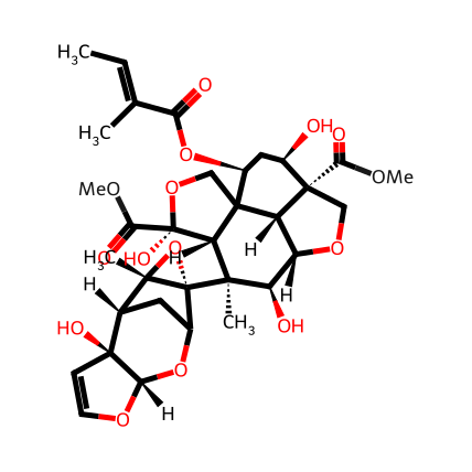 C/C=C(\C)C(=O)O[C@H]1C[C@@H](O)[C@@]2(C(=O)OC)CO[C@H]3[C@@H]2C12CO[C@](O)(C(=O)OC)[C@H]2[C@](C)([C@]12O[C@@]1(C)[C@@H]1CC2O[C@@H]2OC=C[C@@]21O)[C@@H]3O